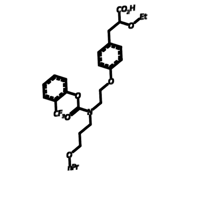 CCCOCCCN(CCOc1ccc(CC(OCC)C(=O)O)cc1)C(=O)Oc1ccccc1C(F)(F)F